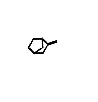 C=C1CC2CC[C]1C2